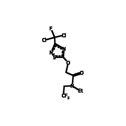 CCN(CC(F)(F)F)C(=O)COc1nc(C(F)(Cl)Cl)ns1